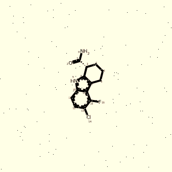 NC(=O)[C@@H]1CCCc2c1[nH]c1ccc(Cl)c(F)c21